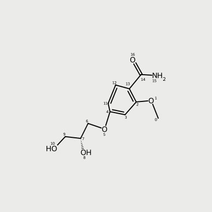 COc1cc(OC[C@H](O)CO)ccc1C(N)=O